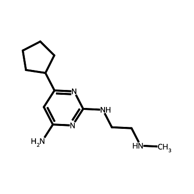 CNCCNc1nc(N)cc(C2CCCC2)n1